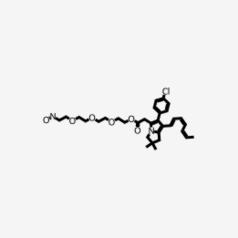 C\C=C/C=C\C=C\c1c(-c2ccc(Cl)cc2)c(CC(=O)OCCOCCOCCOCCN=O)n2c1CC(C)(C)C2